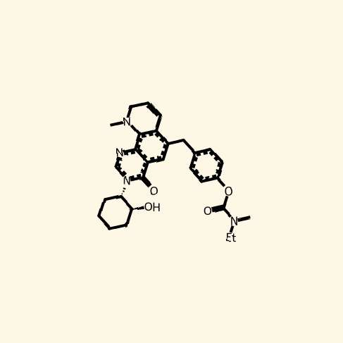 CCN(C)C(=O)Oc1ccc(Cc2cc3c(=O)n([C@H]4CCCC[C@@H]4O)cnc3c3c2C=CCN3C)cc1